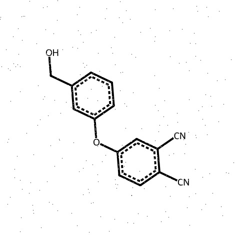 N#Cc1ccc(Oc2cccc(CO)c2)cc1C#N